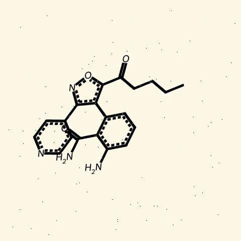 CCCCC(=O)c1onc(-c2ccncc2)c1-c1cccc(N)c1C(N)=O